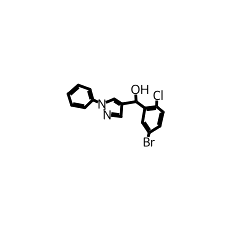 OC(c1cnn(-c2ccccc2)c1)c1cc(Br)ccc1Cl